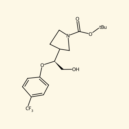 CC(C)(C)OC(=O)N1CCC([C@@H](CO)Oc2ccc(C(F)(F)F)cc2)C1